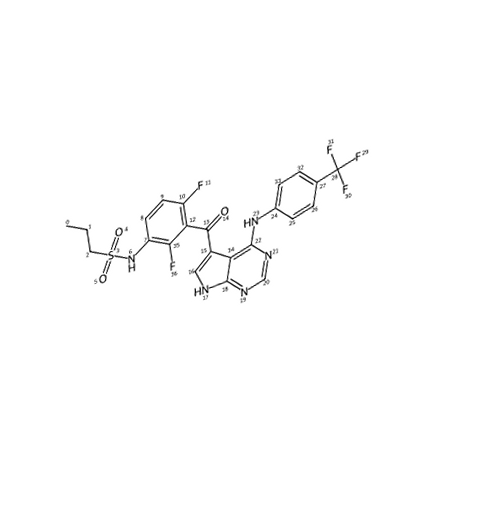 CCCS(=O)(=O)Nc1ccc(F)c(C(=O)c2c[nH]c3ncnc(Nc4ccc(C(F)(F)F)cc4)c23)c1F